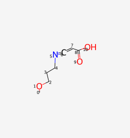 COCCCN=C=CC(=O)O